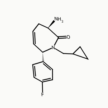 N[C@@H]1CC=C[C@@H](c2ccc(F)cc2)N(CC2CC2)C1=O